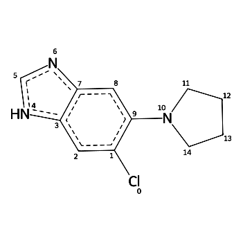 Clc1cc2[nH]cnc2cc1N1CCCC1